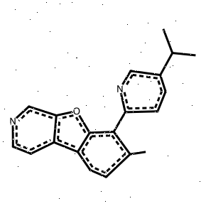 Cc1ccc2c(oc3cnccc32)c1-c1ccc(C(C)C)cn1